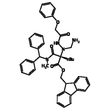 CCCC[C@@](C(=O)OCC1c2ccccc2-c2ccccc21)(C(=O)N(C)C(c1ccccc1)c1ccccc1)N(CN)NC(=O)COc1ccccc1